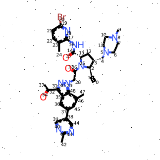 C#C[C@@H]1[C@@H](CN2CCN(C)CC2)C[C@@H](C(=O)Nc2nc(Br)ccc2C)N1C(=O)Cn1nc(C(C)=O)c2cc(-c3cnc(C)nc3)cc(C)c21